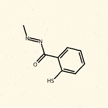 CN=NC(=O)c1ccccc1S